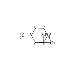 [CH2]C1CCC2OC2(C)C1